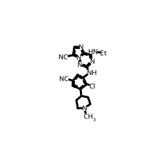 CCNc1nc(Nc2cc(C#N)cc(C3CCN(C)CC3)c2Cl)nn2c(C#N)cnc12